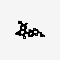 CC#CC(=O)N(c1ccc2c(n1)OCC(COC)O2)c1cc(C)c(Br)cc1C1CC1